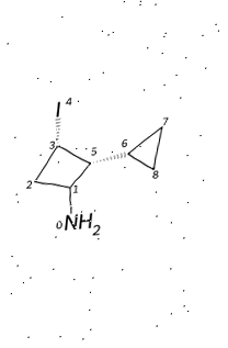 NC1C[C@H](I)[C@@H]1C1CC1